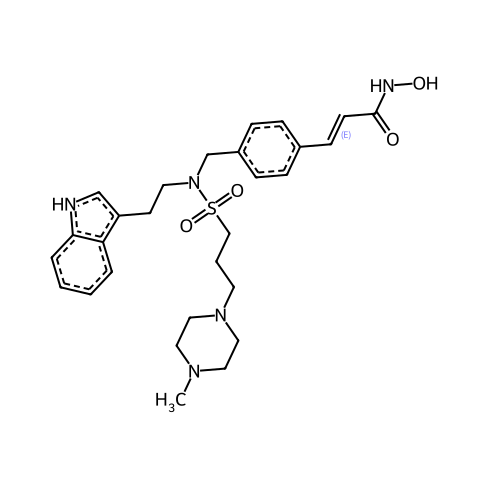 CN1CCN(CCCS(=O)(=O)N(CCc2c[nH]c3ccccc23)Cc2ccc(/C=C/C(=O)NO)cc2)CC1